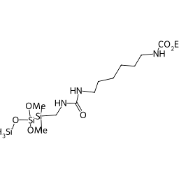 CCOC(=O)NCCCCCCNC(=O)NC[Si](C)(C)[Si](OC)(OC)O[SiH3]